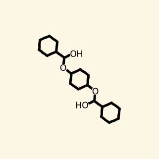 OC(OC1CCC(OC(O)C2CCCCC2)CC1)C1CCCCC1